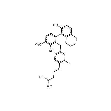 CCCN(C)CCOc1ccc(Cc2c(-c3c(O)ccc4c3CCCC4)ccc(OC)c2N)cc1F